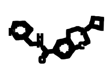 O=C(NCc1cccnc1)c1ccc2c(c1)CCN(C1CCC1)CC2